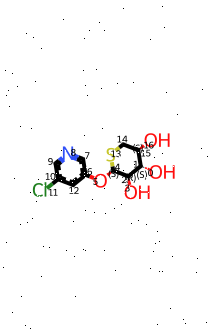 O[C@@H]1[C@@H](O)[C@@H](Oc2cncc(Cl)c2)SC[C@H]1O